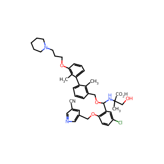 Cc1c(COC(NC(C)(CO)C(=O)O)c2cc(Cl)ccc2OCc2cncc(C#N)c2)cccc1-c1cccc(OCCCN2CCCCC2)c1C